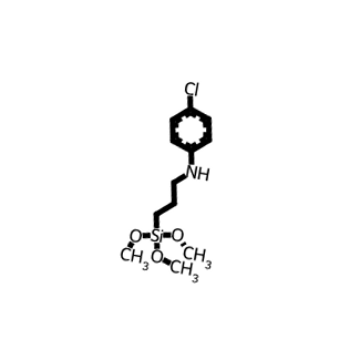 CO[Si](CCCNc1ccc(Cl)cc1)(OC)OC